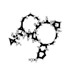 COc1ccc2nc3c(nc2c1)O[C@@H]1C[C@H]2C(=O)N[C@]4(C(=O)NS(=O)(=O)C5(C)CC5)CC4/C=C\CCCCC[C@H](NC(=O)O[C@@H]4CCC[C@H]4CCCCC3)C(=O)N2C1